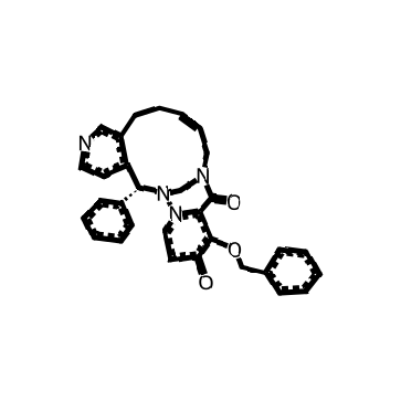 O=C1c2c(OCc3ccccc3)c(=O)ccn2N2CN1C/C=C\CCc1cnccc1[C@H]2c1ccccc1